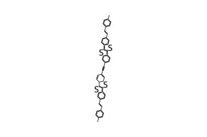 Cc1ccc(/C=C/c2ccc3c4c(sc3c2)C2C=CC(C#Cc3ccc5c(c3)sc3c6ccc(/C=C/c7ccc(C)cc7)cc6sc53)=CC2S4)cc1